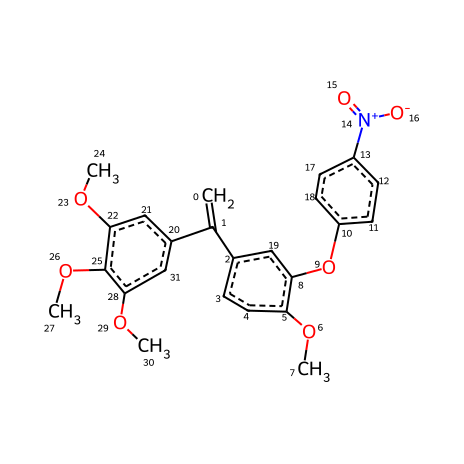 C=C(c1ccc(OC)c(Oc2ccc([N+](=O)[O-])cc2)c1)c1cc(OC)c(OC)c(OC)c1